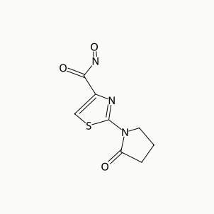 O=NC(=O)c1csc(N2CCCC2=O)n1